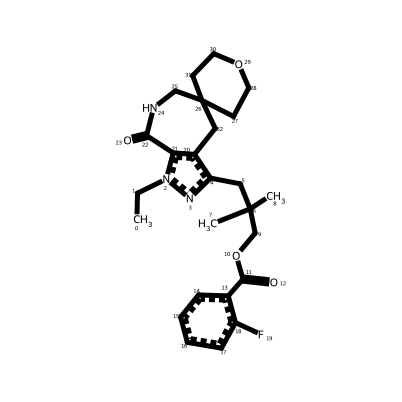 CCn1nc(CC(C)(C)COC(=O)c2ccccc2F)c2c1C(=O)NCC1(CCOCC1)C2